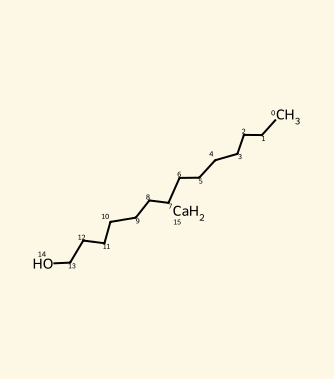 CCCCCCCCCCCCCCO.[CaH2]